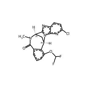 CN1C(=O)c2cccc(OC(F)F)c2[C@H]2C[C@@H]1c1nc3ccc(Cl)nc3n12